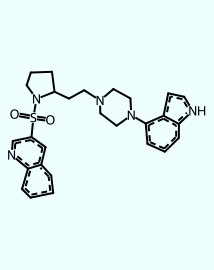 O=S(=O)(c1cnc2ccccc2c1)N1CCCC1CCN1CCN(c2cccc3[nH]ccc23)CC1